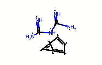 N=C(N)NC(=N)N.c1cc2cc-2c1